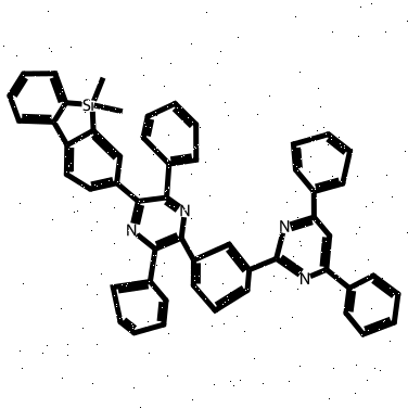 C[Si]1(C)c2ccccc2-c2ccc(-c3nc(-c4ccccc4)c(-c4cccc(-c5nc(-c6ccccc6)cc(-c6ccccc6)n5)c4)nc3-c3ccccc3)cc21